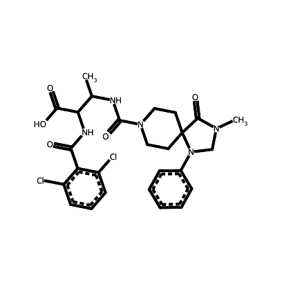 CC(NC(=O)N1CCC2(CC1)C(=O)N(C)CN2c1ccccc1)C(NC(=O)c1c(Cl)cccc1Cl)C(=O)O